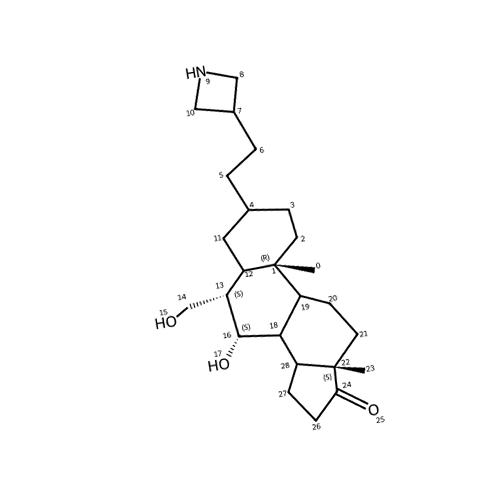 C[C@]12CCC(CCC3CNC3)CC1[C@@H](CO)[C@@H](O)C1C2CC[C@]2(C)C(=O)CCC12